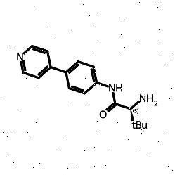 CC(C)(C)[C@H](N)C(=O)Nc1ccc(-c2ccncc2)cc1